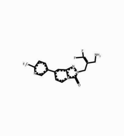 NCC(Cn1nc2cc(-c3ccc(C(F)(F)F)nc3)ccn2c1=O)=C(F)F